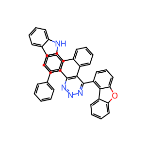 c1ccc(-c2ccccc2-c2nnnc(-c3cccc4oc5ccccc5c34)c2-c2ccccc2-c2cccc3c2[nH]c2ccccc23)cc1